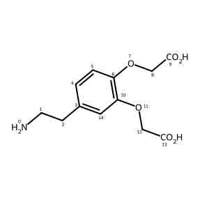 NCCc1ccc(OCC(=O)O)c(OCC(=O)O)c1